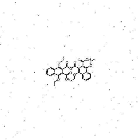 CCOc1c(C(=O)O)c(C(=O)OC(=O)c2c(C(=O)O)c(OCC)c3ccccc3c2OCC)c(OCC)c2ccccc12